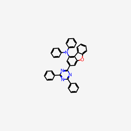 c1ccc(-c2nc(-c3ccccc3)nc(-c3cc(N(c4ccccc4)c4ccccc4)c4c(c3)oc3ccccc34)n2)cc1